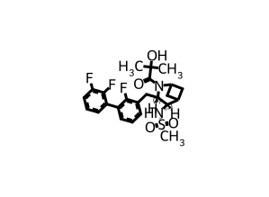 CC(C)(O)C(=O)N1C2CC(C2)[C@H](NS(C)(=O)=O)[C@@H]1Cc1cccc(-c2cccc(F)c2F)c1F